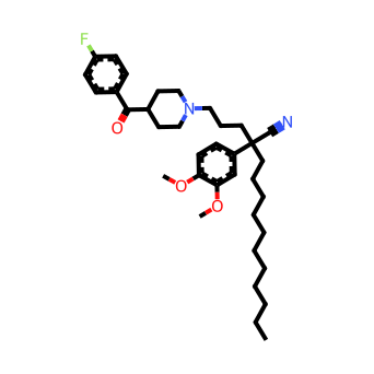 CCCCCCCCCCCC(C#N)(CCCN1CCC(C(=O)c2ccc(F)cc2)CC1)c1ccc(OC)c(OC)c1